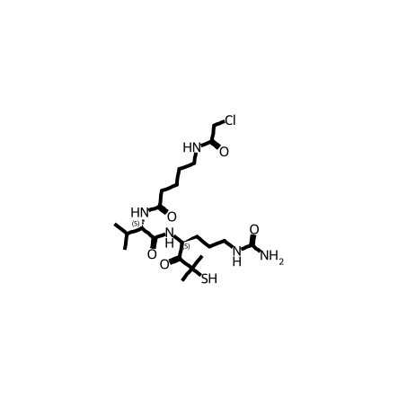 CC(C)[C@H](NC(=O)CCCCNC(=O)CCl)C(=O)N[C@@H](CCCNC(N)=O)C(=O)C(C)(C)S